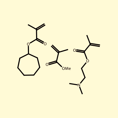 C=C(C)C(=O)OC.C=C(C)C(=O)OC1CCCCCC1.C=C(C)C(=O)OCCN(C)C